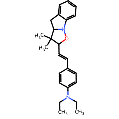 CCN(CC)c1ccc(C=CC2ON3c4ccccc4CC3C2(C)C)cc1